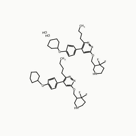 CCCCc1nnc(OCC2CNCCC2(F)F)cc1-c1ccc(OC2CCCCC2)cc1.CCCCc1nnc(OCC2CNCCC2(F)F)cc1-c1ccc(OC2CCCCC2)cc1.Cl.Cl